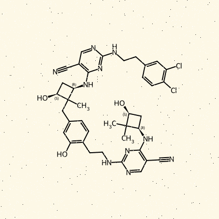 CC1(C)[C@@H](O)C[C@H]1Nc1nc(NCCc2ccc(CC3(C)[C@@H](O)C[C@H]3Nc3nc(NCCc4ccc(Cl)c(Cl)c4)ncc3C#N)cc2O)ncc1C#N